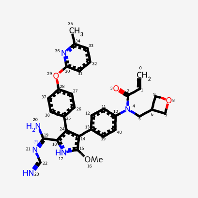 C=CC(=O)N(CC1COC1)c1ccc(-c2c(OC)[nH]c(/C(N)=N\C=N)c2-c2ccc(Oc3cccc(C)n3)cc2)cc1